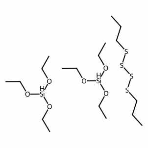 CCCSSSSCCC.CCO[SiH](OCC)OCC.CCO[SiH](OCC)OCC